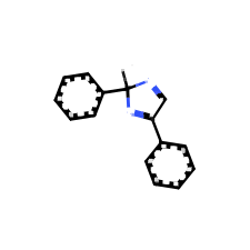 O=CC1(c2ccccc2)N=CC(c2ccccc2)=N1